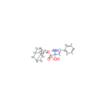 NC(O)(CCc1ccccc1)C(=O)OC1C2CC3CC(C2)CC1C3